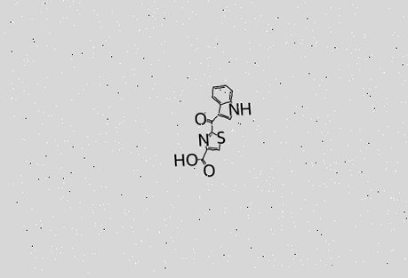 O=C(O)c1csc(C(=O)c2c[nH]c3ccccc23)n1